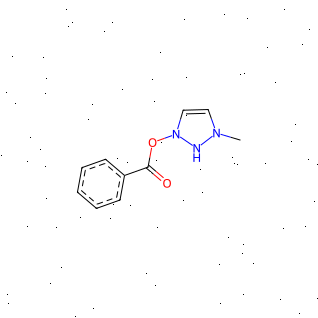 CN1C=CN(OC(=O)c2ccccc2)N1